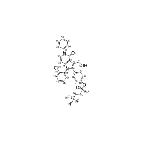 O=c1c2c(CO)c(-c3ccc(OS(=O)(=O)CCC(F)(F)F)cc3)n(-c3ccccc3Cl)c2ccn1-c1ccccc1